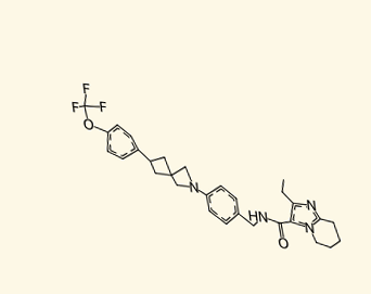 CCc1nc2n(c1C(=O)NCc1ccc(N3CC4(CC(c5ccc(OC(F)(F)F)cc5)C4)C3)cc1)CCCC2